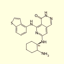 NC1CCCC[C@H]1Nc1cc2cn[nH]c(=O)c2c(Nc2cccc3sccc23)n1